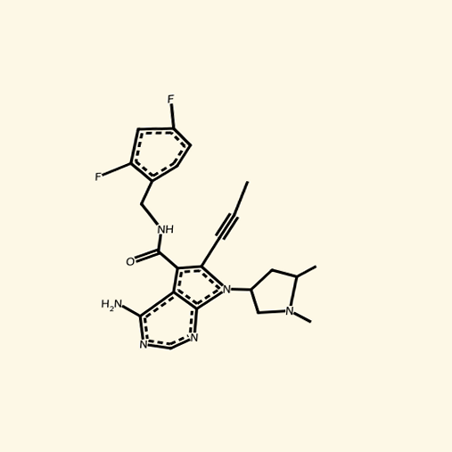 CC#Cc1c(C(=O)NCc2ccc(F)cc2F)c2c(N)ncnc2n1C1CC(C)N(C)C1